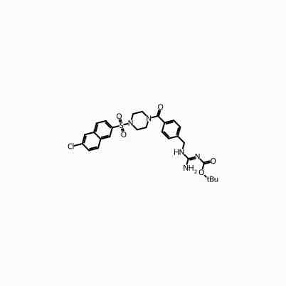 CC(C)(C)OC(=O)N=C(N)NCc1ccc(C(=O)N2CCN(S(=O)(=O)c3ccc4cc(Cl)ccc4c3)CC2)cc1